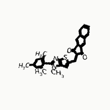 Cc1cc(C)c(-c2nc3sc(C=C4C(=O)c5cc6ccccc6cc5C4=O)cc3n2C)c(C)c1